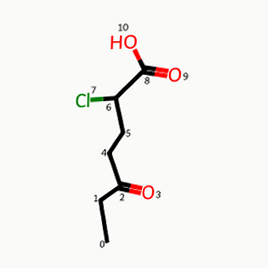 CCC(=O)CCC(Cl)C(=O)O